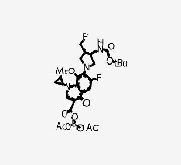 COc1c(N2CC(CF)C(NC(=O)OC(C)(C)C)C2)c(F)cc2c(=O)c(C(=O)OB(OC(C)=O)OC(C)=O)cn(C3CC3)c12